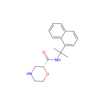 CC(C)(NC(=O)[C@H]1CNCCO1)c1cccc2ccccc12